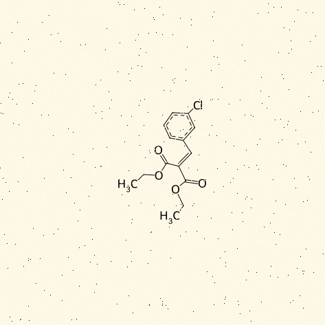 CCOC(=O)C(=Cc1cccc(Cl)c1)C(=O)OCC